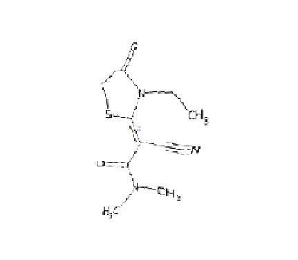 CCN1C(=O)CS/C1=C(/C#N)C(=O)N(C)C